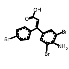 Nc1c(Br)cc(/C(=C/C(=O)O)c2ccc(Br)cc2)cc1Br